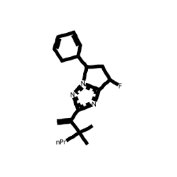 C=C(c1nc2n(n1)C(C1C=CC=CC1)CC2F)C(C)(C)CCC